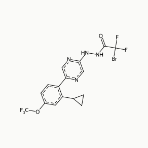 O=C(NNc1cnc(-c2ccc(OC(F)(F)F)cc2C2CC2)cn1)C(F)(F)Br